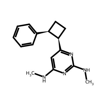 CNc1cc([C@@H]2CC[C@@H]2c2ccccc2)nc(NC)n1